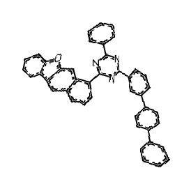 c1ccc(-c2ccc(-c3cccc(-c4nc(-c5ccccc5)nc(-c5cccc6cc7c(cc56)oc5ccccc57)n4)c3)cc2)cc1